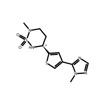 CN1CC[C@@H](c2cc(-c3ncnn3C)cs2)NS1(=O)=O